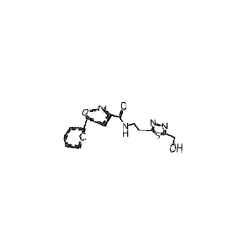 O=C(NCCc1nnc(CO)s1)c1cc(-c2ccccc2)on1